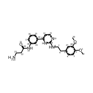 COc1ccc(CCNc2nccc(-c3cccc(NC(=O)CCN)c3)n2)cc1OC